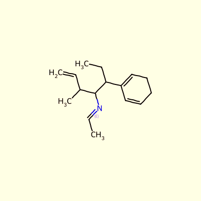 C=CC(C)C(/N=C/C)C(CC)C1=CCCC=C1